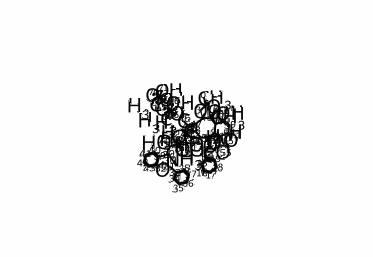 CC(=O)O[C@H]1C(=O)[C@@]2(C)[C@H]([C@H](OC(=O)c3ccccc3)[C@]3(O)C[C@H](OC(=O)[C@H](O)[C@@H](NC(=O)c4ccccc4)c4ccccc4)C(C)=C1C3(C)C)[C@]1(OC(C)=O)CO[C@@H]1C[C@@H]2O.CS(=O)(=O)O.CS(=O)(=O)O